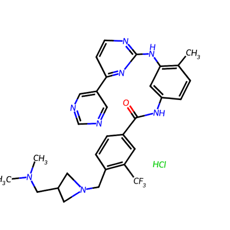 Cc1ccc(NC(=O)c2ccc(CN3CC(CN(C)C)C3)c(C(F)(F)F)c2)cc1Nc1nccc(-c2cncnc2)n1.Cl